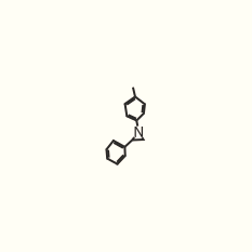 Cc1ccc(N2CC2c2ccccc2)cc1